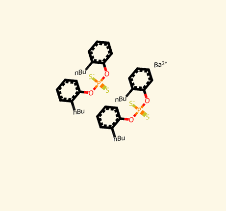 CCCCc1ccccc1OP(=S)([S-])Oc1ccccc1CCCC.CCCCc1ccccc1OP(=S)([S-])Oc1ccccc1CCCC.[Ba+2]